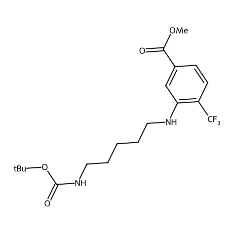 COC(=O)c1ccc(C(F)(F)F)c(NCCCCCNC(=O)OC(C)(C)C)c1